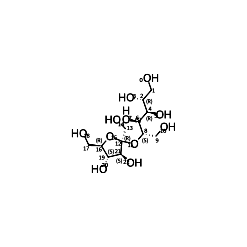 OC[C@@H](O)[C@@H](O)[C@H](O)[C@H](CO)O[C@]1(CO)O[C@H](CO)[C@@H](O)[C@@H]1O